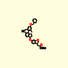 COC(=O)C[C@@H]1COc2cc(O[C@@H]3CCc4c3ccc(C#N)c4-c3c(C)cc(OCc4ccccc4)cc3C)ccc21